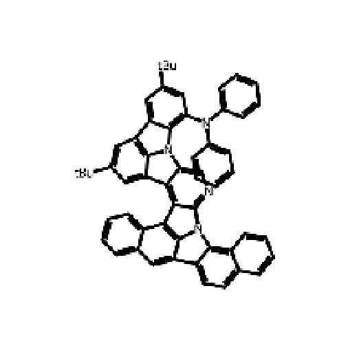 CC(C)(C)c1cc(N(c2ccccc2)c2ccccc2)c2c(c1)c1cc(C(C)(C)C)cc3c4c5c6c7ccccc7cc7c8ccc9ccccc9c8n(c5ncc4n2c13)c76